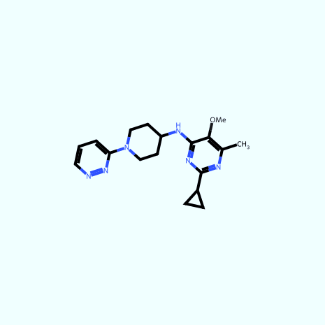 COc1c(C)nc(C2CC2)nc1NC1CCN(c2cccnn2)CC1